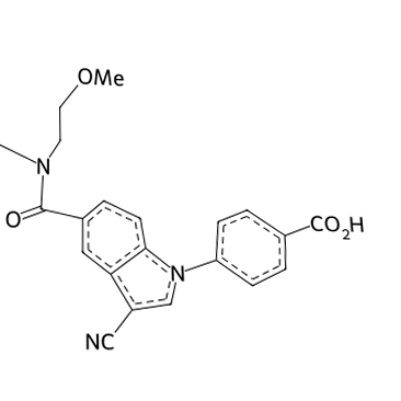 COCCN(C)C(=O)c1ccc2c(c1)c(C#N)cn2-c1ccc(C(=O)O)cc1